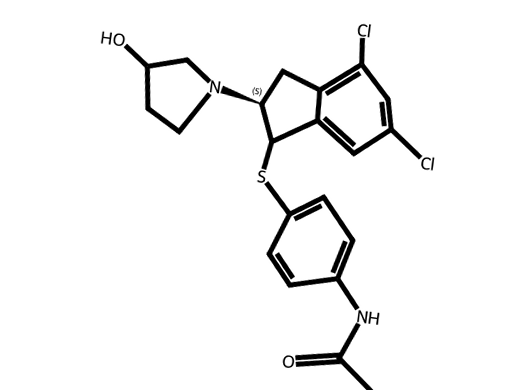 CC(=O)Nc1ccc(SC2c3cc(Cl)cc(Cl)c3C[C@@H]2N2CCC(O)C2)cc1